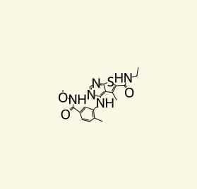 CCNC(=O)c1sc2ncnc(Nc3cc(C(=O)NOC)ccc3C)c2c1C